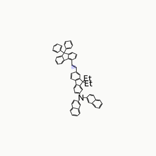 CCC1(CC)c2cc(/C=C/c3cccc4c3-c3ccccc3C4(c3ccccc3)c3ccccc3)ccc2-c2ccc(N(c3ccc4ccccc4c3)c3ccc4ccccc4c3)cc21